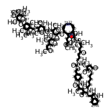 COC(=O)CC1=C2/C(=C/CSSC(C)(C)CCC(=O)CCCNC(=O)OCc3ccc(NC(=O)[C@H](C)CC(=O)[C@H](Cc4c[nH]c5ccccc45)NC(=O)CCCCCN4C(=O)CC(C)C4=O)cc3)[C@](O)(C#C/C=C\C#C[C@@H]2OC2OC(C)C(NOC3CC(O)C(SC(=O)c4c(C)c(I)c(OC5OC(C)C(O)C(OC)C5O)c(C)c4OC)C(C)O3)C(O)C2OC2CC(C)C(CC(C)=O)CO2)CC1=O